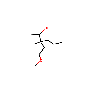 CCCC(C)(CCOC)C(C)O